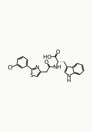 O=C(Cc1csc(-c2cccc(Cl)c2)n1)N[C@@H](Cc1c[nH]c2ccccc12)C(=O)O